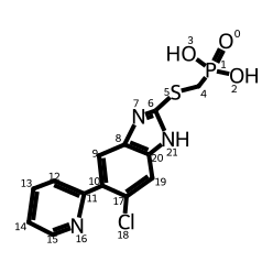 O=P(O)(O)CSc1nc2cc(-c3ccccn3)c(Cl)cc2[nH]1